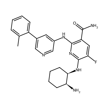 Cc1ccccc1-c1cncc(Nc2nc(N[C@@H]3CCCC[C@@H]3N)c(F)cc2C(N)=O)c1